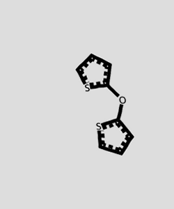 c1csc(Oc2cccs2)c1